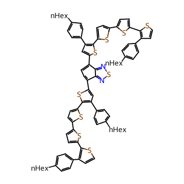 CCCCCCc1ccc(-c2ccsc2-c2ccc(-c3ccc(-c4sc(-c5ccc(-c6cc(-c7ccc(CCCCCC)cc7)c(-c7ccc(-c8ccc(-c9sccc9-c9ccc(CCCCCC)cc9)s8)s7)s6)c6nsnc56)cc4-c4ccc(CCCCCC)cc4)s3)s2)cc1